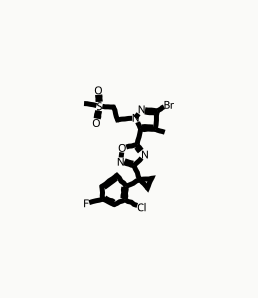 Cc1c(Br)nn(CCS(C)(=O)=O)c1-c1nc(C2(c3ccc(F)cc3Cl)CC2)no1